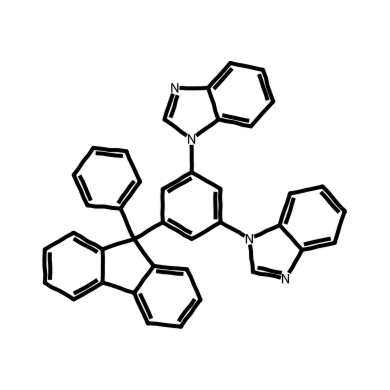 c1ccc(C2(c3cc(-n4cnc5ccccc54)cc(-n4cnc5ccccc54)c3)c3ccccc3-c3ccccc32)cc1